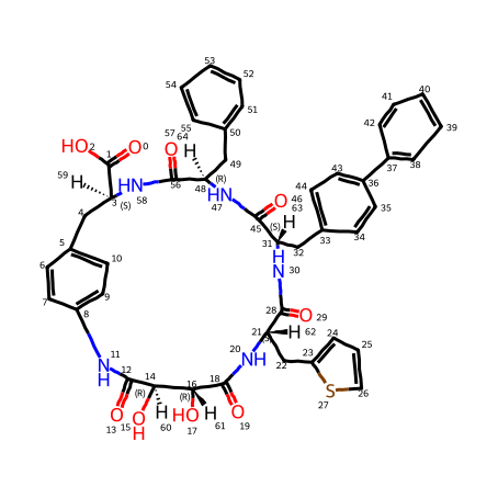 O=C(O)[C@@H]1Cc2ccc(cc2)NC(=O)[C@H](O)[C@@H](O)C(=O)N[C@@H](Cc2cccs2)C(=O)N[C@@H](Cc2ccc(-c3ccccc3)cc2)C(=O)N[C@H](Cc2ccccc2)C(=O)N1